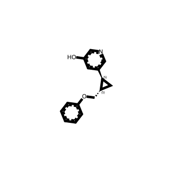 Oc1cncc([C@H]2C[C@@H]2COc2ccccc2)c1